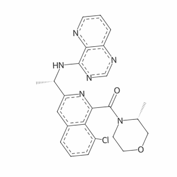 C[C@H](Nc1ncnc2cccnc12)c1cc2cccc(Cl)c2c(C(=O)N2CCOC[C@H]2C)n1